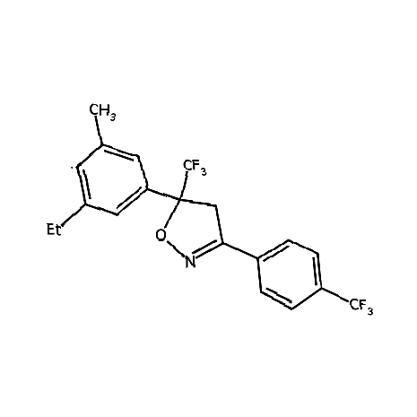 CCc1[c]c(C)cc(C2(C(F)(F)F)CC(c3ccc(C(F)(F)F)cc3)=NO2)c1